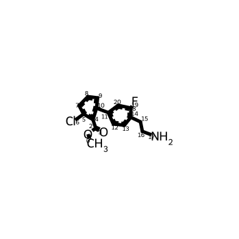 COC(=O)c1c(Cl)cccc1-c1ccc(CCN)c(F)c1